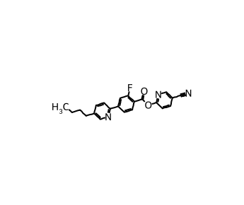 CCCCc1ccc(-c2ccc(C(=O)Oc3ccc(C#N)cn3)c(F)c2)nc1